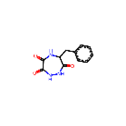 O=C1NNC(=O)C(Cc2ccccc2)NC1=O